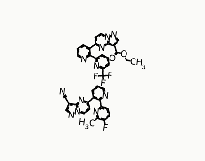 CCOC(=O)c1cnn2ccc(-c3cccnc3-c3cccc(C(F)(F)F)n3)nc12.Cc1nc(-c2ncccc2-c2ccn3ncc(C#N)c3n2)ccc1F